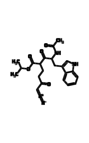 CC(=O)NC(Cc1c[nH]c2ccccc12)C(=O)C(CCC(=O)C=[N+]=[N-])C(=O)OC(C)C